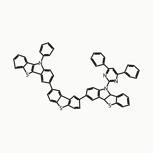 c1ccc(-c2cc(-c3ccccc3)nc(N3c4ccc(-c5ccc6sc7ccc(-c8ccc9c(c8)c8sc%10ccccc%10c8n9-c8ccccc8)cc7c6c5)cc4C4Sc5ccccc5C43)n2)cc1